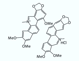 COc1cc2ccc3c4c(OC)cc5c(c4c[n+](C)c3c2cc1OC)OCO5.COc1ccc2c(c[n+](C)c3c4cc5c(cc4ccc23)OCO5)c1OC.Cl